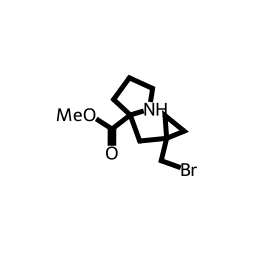 COC(=O)C1(CC2(CBr)CC2)CCCN1